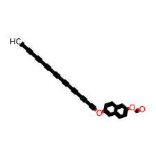 C#CC#CC#CC#CC#CC#CC#CC#CC#COc1ccc2cc(OC=O)ccc2c1